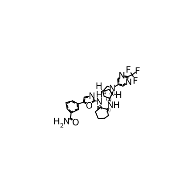 NC(=O)c1cccc(-c2cnc(N[C@@H]3CCCC[C@H]3N[C@H]3C[C@@H]4C[C@H]3N(c3cnc(C(F)(F)F)nc3)C4)o2)c1